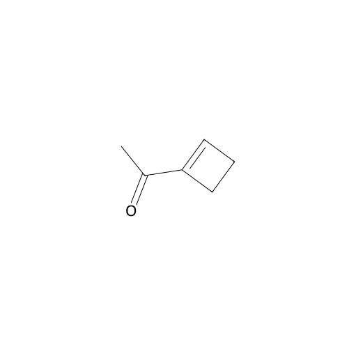 CC(=O)C1=CCC1